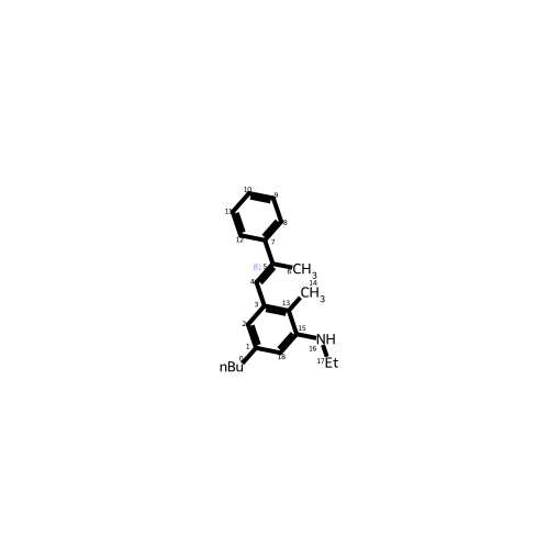 CCCCc1cc(/C=C(\C)c2ccccc2)c(C)c(NCC)c1